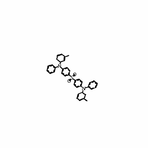 CC1=CC(N(c2ccccc2)c2ccc(S(=O)(=O)c3ccc(N(c4ccccc4)C4C=CC=C(C)C4)cc3)cc2)CC=C1